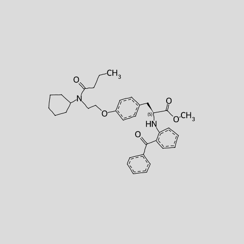 CCCC(=O)N(CCOc1ccc(C[C@H](Nc2ccccc2C(=O)c2ccccc2)C(=O)OC)cc1)C1CCCCC1